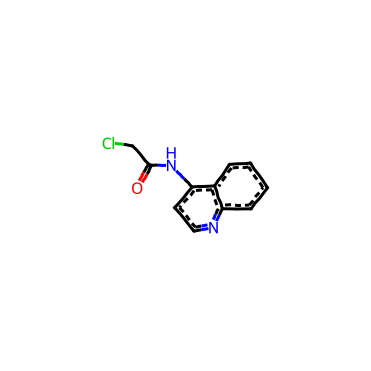 O=C(CCl)Nc1ccnc2ccccc12